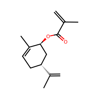 C=C(C)C(=O)O[C@H]1C[C@H](C(=C)C)CC=C1C